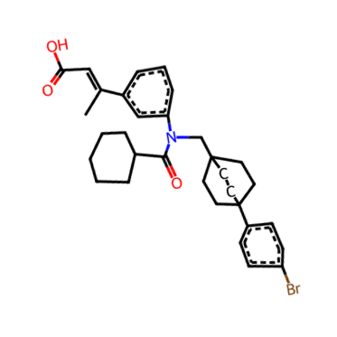 C/C(=C\C(=O)O)c1cccc(N(CC23CCC(c4ccc(Br)cc4)(CC2)CC3)C(=O)C2CCCCC2)c1